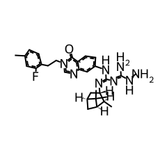 Cc1ccc(CCn2cnc3cc(N/C(N=C(N)NN)=N/[C@H]4C[C@@H]5C[C@H]([C@@H]4C)C5(C)C)ccc3c2=O)c(F)c1